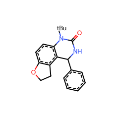 CC(C)(C)N1C(=O)NC(c2ccccc2)c2c1ccc1c2CCO1